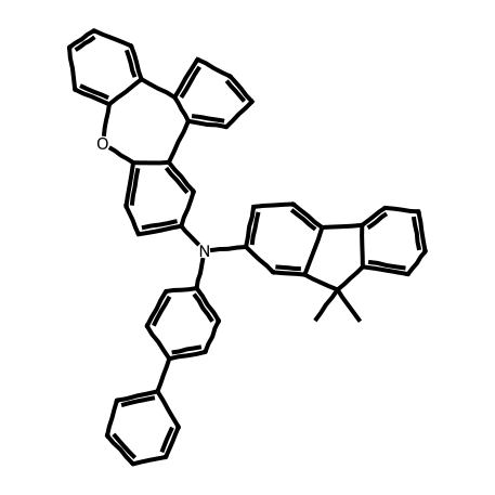 CC1(C)c2ccccc2-c2ccc(N(c3ccc(-c4ccccc4)cc3)c3ccc4c(c3)-c3ccccc3-c3ccccc3O4)cc21